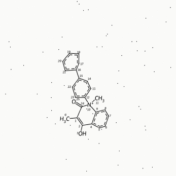 CC1=C(O)c2ccccc2[N+](C)(c2ccc(-c3ccccc3)cc2)C1=O